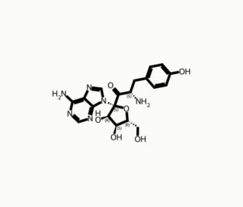 Nc1ncnc2c1ncn2[C@]1(C(=O)[C@@H](N)Cc2ccc(O)cc2)O[C@H](CO)[C@@H](O)[C@H]1O